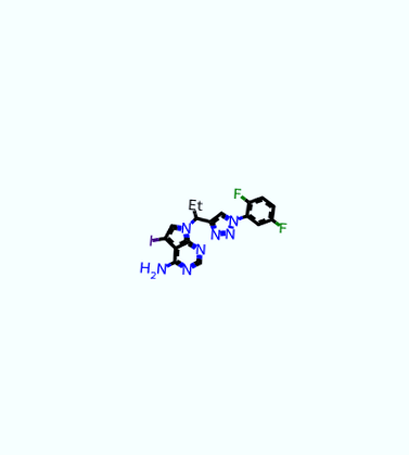 CCC(c1cn(-c2cc(F)ccc2F)nn1)n1cc(I)c2c(N)ncnc21